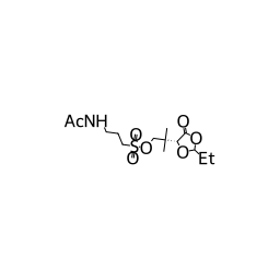 CCC1OC(=O)[C@@H](C(C)(C)COS(=O)(=O)CCCNC(C)=O)O1